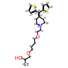 CCC(O)COCCCCOCCN1CCC(=C(c2cccs2)c2cccs2)CC1